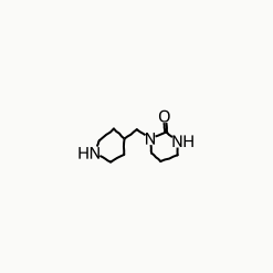 O=C1NCCCN1CC1CCNCC1